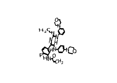 C=C/N=C(\N=C(/CNc1ccc(N2CCOCC2)cc1)c1ccc(F)c(NC(=O)C=C)c1)Nc1cccc(N2CCOCC2)c1